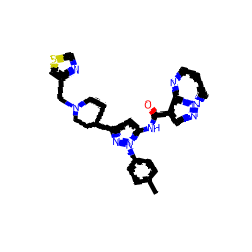 Cc1ccc(-n2nc(C3CCN(Cc4cscn4)CC3)cc2NC(=O)c2cnn3cccnc23)cc1